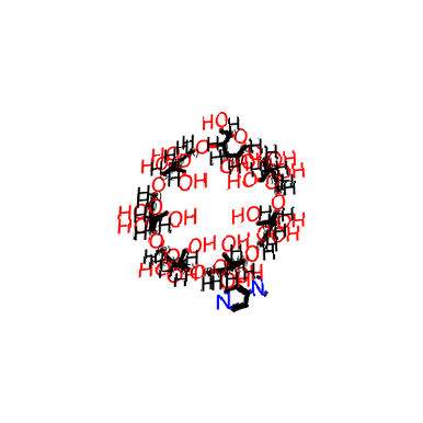 CN(C)c1ccncc1.OC[C@H]1O[C@@H]2O[C@H]3[C@H](O)[C@@H](O)[C@@H](O[C@H]4[C@H](O)[C@@H](O)[C@@H](O[C@H]5[C@H](O)[C@@H](O)[C@@H](O[C@H]6[C@H](O)[C@@H](O)[C@@H](O[C@H]7[C@H](O)[C@@H](O)[C@@H](O[C@H]8[C@H](O)[C@@H](O)[C@@H](O[C@H]1[C@H](O)[C@H]2O)O[C@@H]8CO)O[C@@H]7CO)O[C@@H]6CO)O[C@@H]5CO)O[C@@H]4CO)O[C@@H]3CO